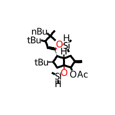 C=C1C[C@H]2[C@@H](C(=CC(C(C)(C)C)C(C)(C)CCCC)O[SiH](C)C)[C@H](C(C)(C)C)C[C@@]2(O[SiH](C)C)C1OC(C)=O